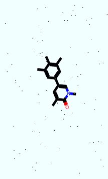 Cc1cc(-c2cc(C)c(=O)n(C)c2)cc(C)c1C